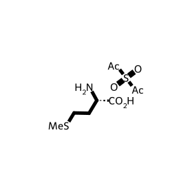 CC(=O)S(=O)(=O)C(C)=O.CSCC[C@H](N)C(=O)O